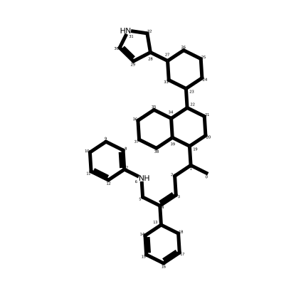 CC(C/C=C(\CNC1=CCCC=C1)C1C=CC=CC1)C1CCC(C2CCCC(C3C=CNC3)C2)C2CCCCC12